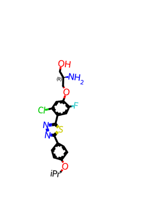 CC(C)Oc1ccc(-c2nnc(-c3cc(F)c(OC[C@H](N)CO)cc3Cl)s2)cc1